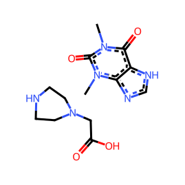 Cn1c(=O)c2[nH]cnc2n(C)c1=O.O=C(O)CN1CCNCC1